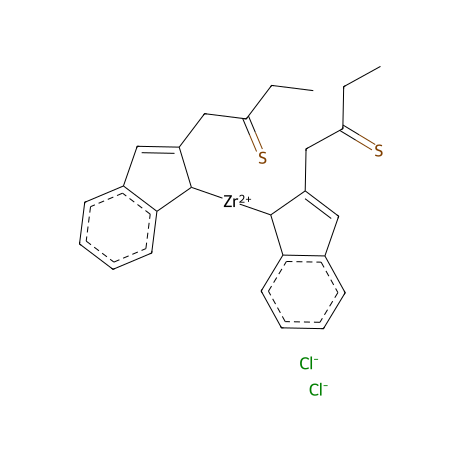 CCC(=S)CC1=Cc2ccccc2[CH]1[Zr+2][CH]1C(CC(=S)CC)=Cc2ccccc21.[Cl-].[Cl-]